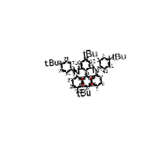 CC(C)(C)c1ccc(N(c2ccccc2)c2cc(C(C)(C)C)cc(N(c3ccc(C(C)(C)C)cc3)c3ccc(C(C)(C)C)cc3)c2-c2ccccc2)cc1